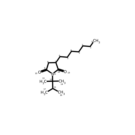 CCCCCCCC1CC(=O)N(C(C)(C)C(C)C)C1=O